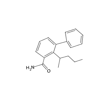 CCCC(C)c1c(C(N)=O)cccc1-c1ccccc1